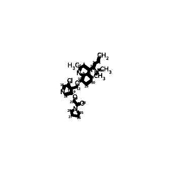 C=C/C=C(/c1cc(C)nc2c(OCc3c(Cl)cncc3OCC(=O)N3CCCC3)cccc12)N(C)C